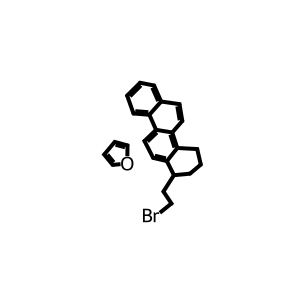 BrCCC1CCCc2c1ccc1c2ccc2ccccc21.c1ccoc1